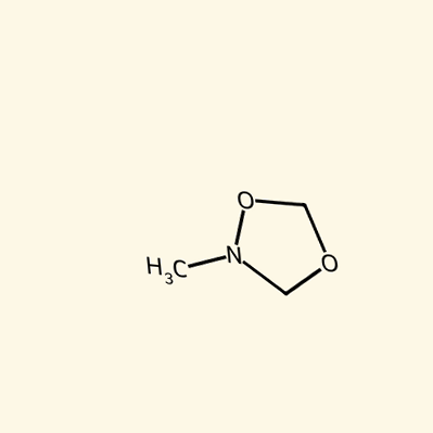 CN1COCO1